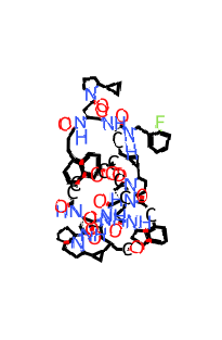 O=C1CCc2cccc(c2)OCCC(C2CC2C2CCCN2C(=O)C[C@@H]2NC(=O)CCc3cccc(c3)OCCC(C3CC3C3CCCN3C(=O)C[C@@H]3NC(=O)CCc4cccc(c4)OCCCC[C@@H](C(=O)NC4CCCC4)NC3=O)C[C@@H](C(=O)NC3CCCC3)NC2=O)C[C@@H](C(=O)NCc2ccccc2F)NC(=O)[C@H](CC(=O)N2CCCC2C2CC2)N1